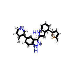 Cc1ccc(-c2cccc3[nH]c(-c4n[nH]c5ccc(-c6cnccc6C)cc45)cc23)s1